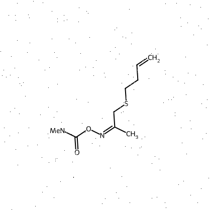 C=CCCSCC(C)=NOC(=O)NC